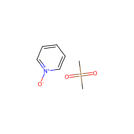 CS(C)(=O)=O.[O-][n+]1ccccc1